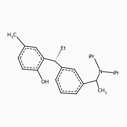 CC[C@H](c1cccc(C(C)N(C(C)C)C(C)C)c1)c1cc(C)ccc1O